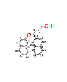 OCCCCOc1ccc2ccccc2c1-c1cccc2ccccc12